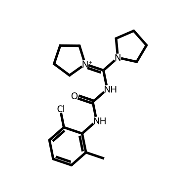 Cc1cccc(Cl)c1NC(=O)NC(N1CCCC1)=[N+]1CCCC1